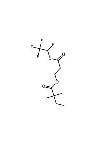 CCC(C)(C)C(=O)OCCC(=O)OC(F)C(F)(F)F